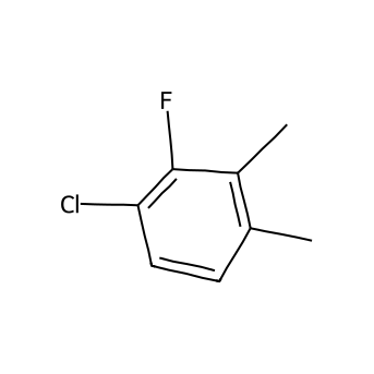 Cc1ccc(Cl)c(F)c1C